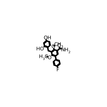 COc1c(C(N)=O)cc(-c2ccc(F)cc2)c(OC)c1Cc1ccc(O)cc1O